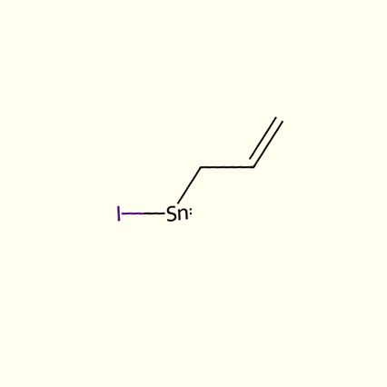 C=C[CH2][Sn][I]